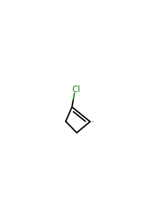 ClC1=[C]CC1